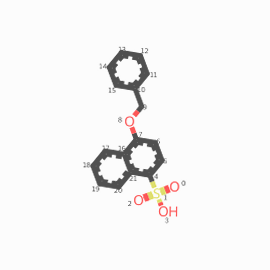 O=S(=O)(O)c1ccc(OCc2ccccc2)c2ccccc12